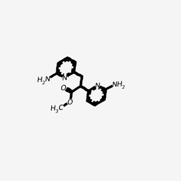 COC(=O)C(Cc1cccc(N)n1)c1cccc(N)n1